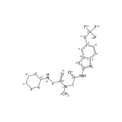 CN(CC(=O)Nc1nc2ccc(OC(F)(F)F)cc2s1)C(=O)CNC1CCCCC1